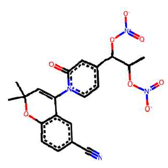 CC(O[N+](=O)[O-])C(O[N+](=O)[O-])c1ccn(C2=CC(C)(C)Oc3ccc(C#N)cc32)c(=O)c1